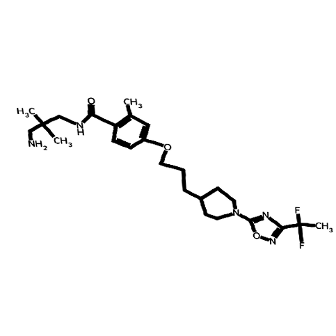 Cc1cc(OCCCC2CCN(c3nc(C(C)(F)F)no3)CC2)ccc1C(=O)NCC(C)(C)CN